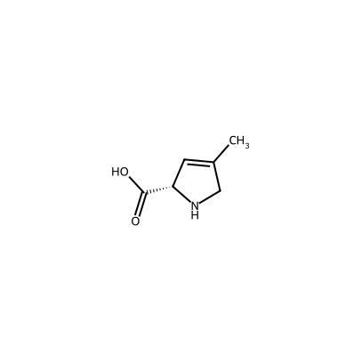 CC1=C[C@@H](C(=O)O)NC1